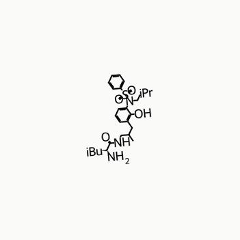 CC[C@H](C)[C@@H](N)C(=O)NCC(C)Cc1cccc(N(CC(C)C)S(=O)(=O)c2ccccc2)c1O